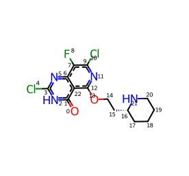 O=c1[nH]c(Cl)nc2c(F)c(Cl)nc(OCC[C@H]3CCCCN3)c12